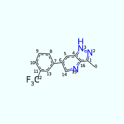 Cc1n[nH]c2cc(-c3cccc(C(F)(F)F)c3)cnc12